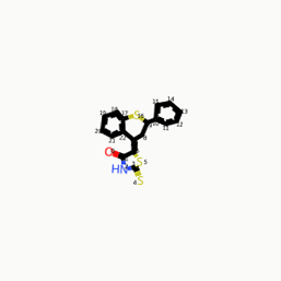 O=C1NC(=S)SC1=C1CC(c2ccccc2)Sc2ccccc21